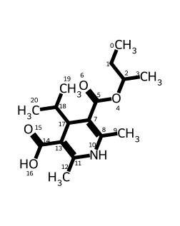 CCC(C)OC(=O)C1=C(C)NC(C)=C(C(=O)O)C1C(C)C